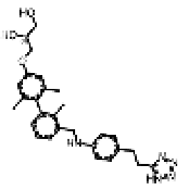 Cc1cc(OC[C@@H](O)CO)cc(C)c1-c1cccc(CNc2ccc(CCc3nnn[nH]3)cc2)c1C